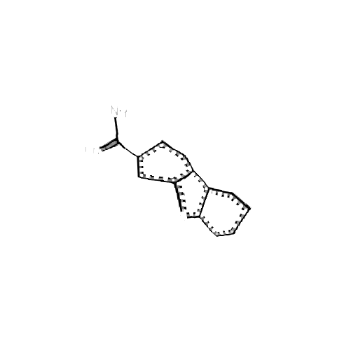 N=C(N)c1ccc2c(c1)sc1ccccc12